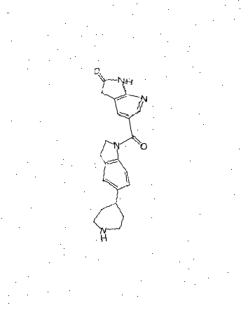 O=C1Cc2cc(C(=O)N3CCc4cc(C5CCNCC5)ccc43)cnc2N1